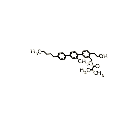 C=C(C)C(=O)OCc1cc(-c2ccc(-c3ccc(CCCCC)cc3)cc2C)ccc1CCO